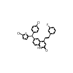 O=c1cc(C=Cc2cccc(F)c2)c2cc(C(c3ccc(Cl)cc3)c3ccc(Cl)s3)ccc2[nH]1